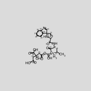 CC(C)C[C@@H](NC(=O)CNC1(C=O)C=Nc2ccccc21)C(=O)OB(O)OC(=O)CC(O)(CC(=O)O)C(=O)O